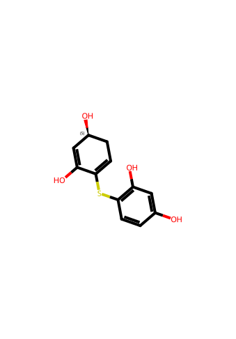 OC1=C[C@@H](O)CC=C1Sc1ccc(O)cc1O